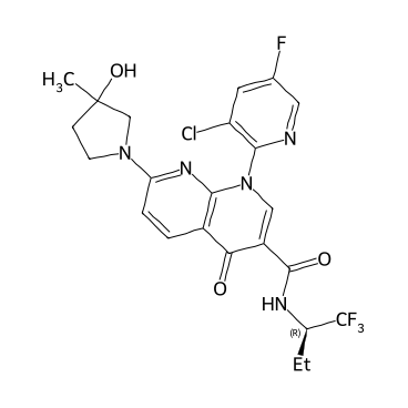 CC[C@@H](NC(=O)c1cn(-c2ncc(F)cc2Cl)c2nc(N3CCC(C)(O)C3)ccc2c1=O)C(F)(F)F